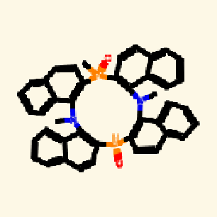 CN1c2c(ccc3ccccc23)[PH](=O)c2ccc3ccccc3c2N(C)c2c(ccc3ccccc23)P(C)(=O)c2ccc3ccccc3c21